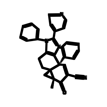 C[C@@]12C[C@]13CCc1c(nc(-c4ccncc4)n1-c1ccccc1)[C@@]3(c1ccccc1)C=C(C#N)C2=O